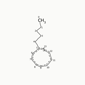 CCCCCc1cccccccs1